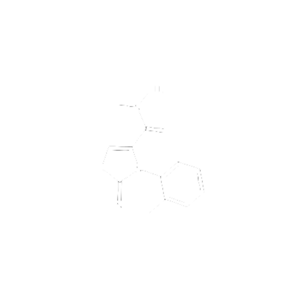 CN(C)C(=O)c1csc(=N)n1-c1ccccc1Cl